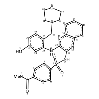 CNC(=O)c1ccc(S(=O)(=O)Nc2nc3ccccc3nc2Nc2cc(O)ccc2CC2CCOCC2)cc1